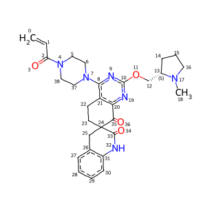 C=CC(=O)N1CCN(c2nc(OC[C@@H]3CCCN3C)nc3c2CCC2(Cc4ccccc4NC2=O)C3=O)CC1